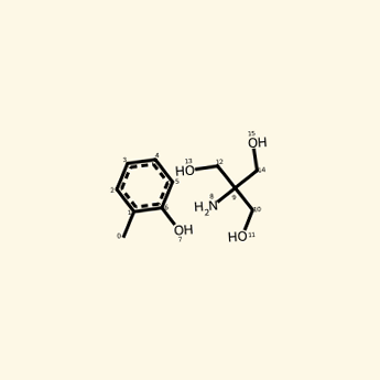 Cc1ccccc1O.NC(CO)(CO)CO